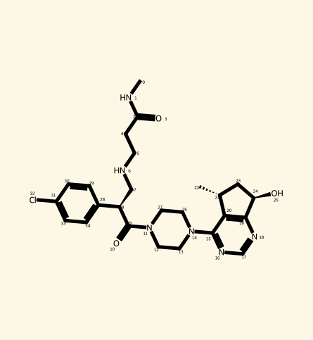 CNC(=O)CCNC[C@@H](C(=O)N1CCN(c2ncnc3c2[C@H](C)C[C@H]3O)CC1)c1ccc(Cl)cc1